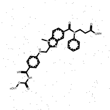 CCCCCCCCOC(=O)NC(=N)c1ccc(NCc2nc3cc(C(=O)N(CCC(=O)OC)c4ccccc4)ccc3n2C)cc1